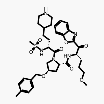 COCCC[C@H](NC(=O)[C@@H]1C[C@@H](OCc2ccc(C)cc2)CN1C(=O)[C@@H](CCC1CCNCC1)NS(C)(=O)=O)C(=O)c1nc2ccccc2o1